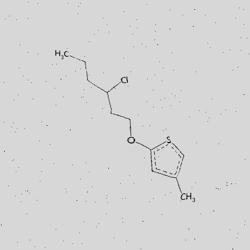 CCCC(Cl)CCOc1cc(C)cs1